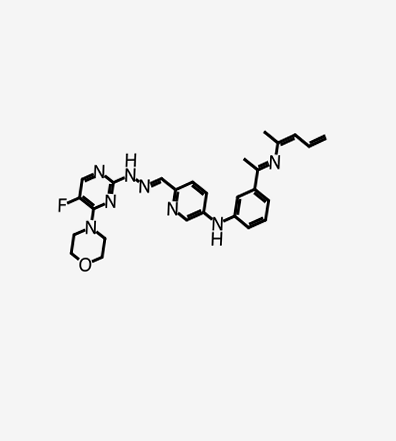 C=C/C=C(C)\N=C(/C)c1cccc(Nc2ccc(/C=N/Nc3ncc(F)c(N4CCOCC4)n3)nc2)c1